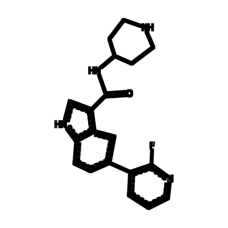 O=C(NC1CCNCC1)c1c[nH]c2ccc(-c3cccnc3F)cc12